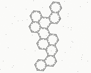 c1ccc2c(c1)ccc1cc3ccc4c5c(ccc(c12)c35)c1ccc2cccc3c5c6ccccc6ccc5c4c1c23